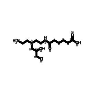 NCCN(CCNC(=O)CCCCC(=O)O)CC(O)CCl